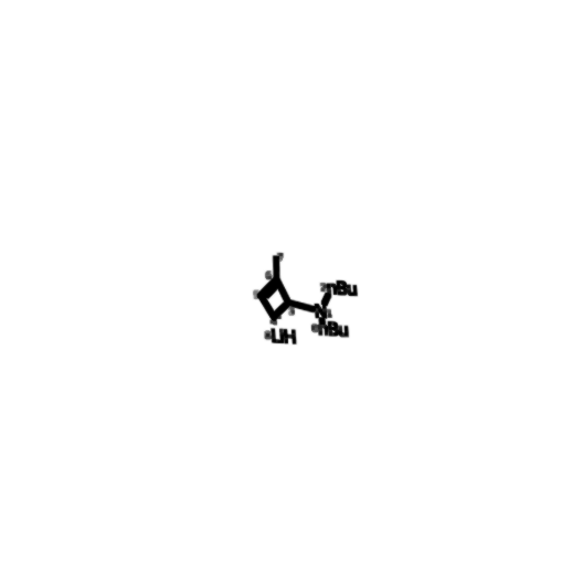 CCCCN(CCCC)C1[CH]C=C1C.[LiH]